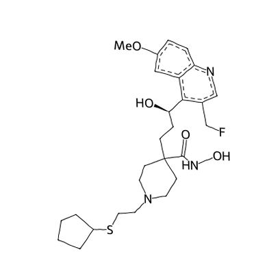 COc1ccc2ncc(CF)c([C@H](O)CCC3(C(=O)NO)CCN(CCSC4CCCC4)CC3)c2c1